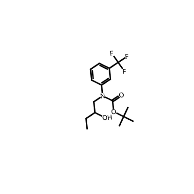 CCC(O)CN(C(=O)OC(C)(C)C)c1cccc(C(F)(F)F)c1